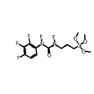 CO[Si](CCCN(F)C(=O)N(F)c1ccc(F)c(F)c1F)(OC)OC